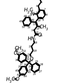 C=Nc1c(CCO)cccc1/C(=C(\C)CC(=O)NCCCCOC(c1ccccc1)(c1ccc(OC)cc1)c1ccc(OC)cc1)c1ccccc1